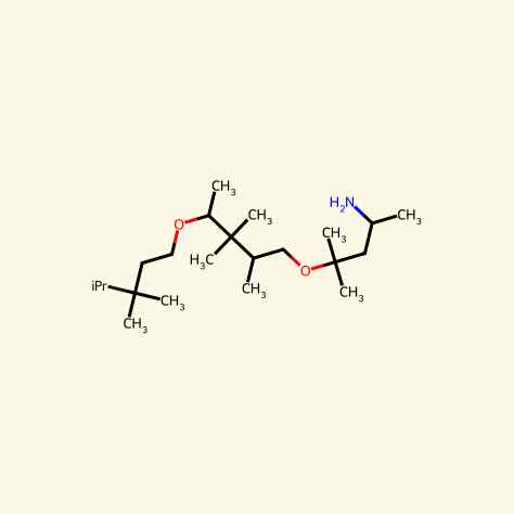 CC(N)CC(C)(C)OCC(C)C(C)(C)C(C)OCCC(C)(C)C(C)C